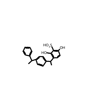 CC(c1ccccc1)c1ccc(C(C)c2ccc(O)c(S(=O)(=O)O)c2O)cc1